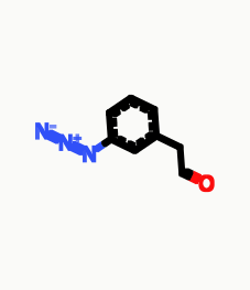 [N-]=[N+]=Nc1cccc(CC=O)c1